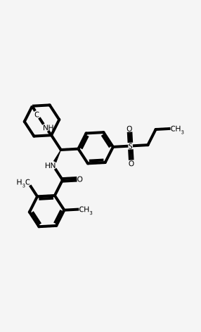 CCCS(=O)(=O)c1ccc([C@@H](NC(=O)c2c(C)cccc2C)C23CCC(CC2)CN3)cc1